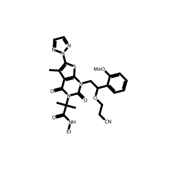 CCNC(=O)C(C)(C)n1c(=O)c2c(C)c(-n3nccn3)sc2n(CC(OCCC#N)c2ccccc2OC)c1=O